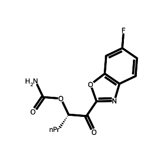 CCC[C@H](OC(N)=O)C(=O)c1nc2ccc(F)cc2o1